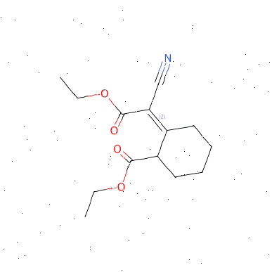 CCOC(=O)/C(C#N)=C1/CCCCC1C(=O)OCC